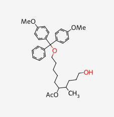 COc1ccc(C(OCCCCCC(OC(C)=O)C(C)CCCO)(c2ccccc2)c2ccc(OC)cc2)cc1